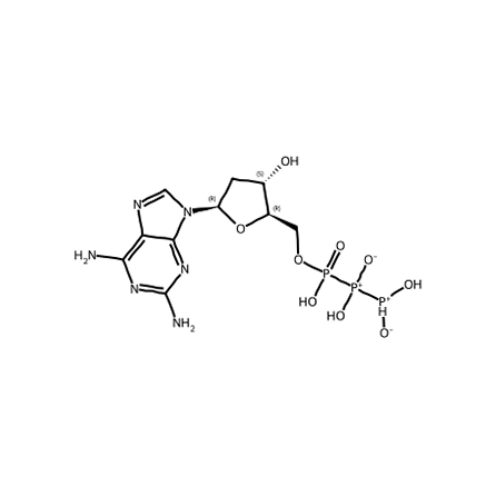 Nc1nc(N)c2ncn([C@H]3C[C@H](O)[C@@H](COP(=O)(O)[P+]([O-])(O)[PH+]([O-])O)O3)c2n1